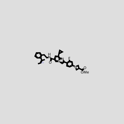 C/C=C(/C)c1ccccc1CCNC(=O)c1cc(C2CC2)c2nc(-c3ccc(N4CC(C(=O)OC)C4)cc3F)cn2c1